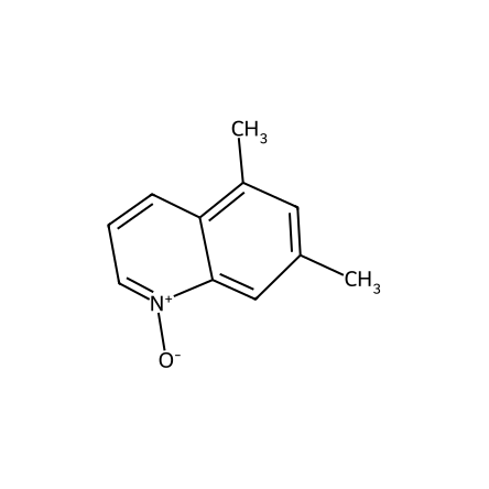 Cc1cc(C)c2ccc[n+]([O-])c2c1